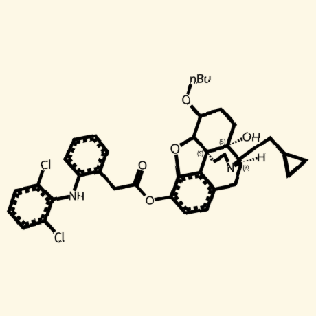 CCCCOC1CC[C@@]2(O)[C@H]3Cc4ccc(OC(=O)Cc5ccccc5Nc5c(Cl)cccc5Cl)c5c4[C@@]2(CCN3CC2CC2)C1O5